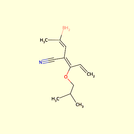 B/C(C)=C/C(C#N)=C(\C=C)OCC(C)C